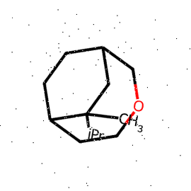 CC(C)C1(C)CC2CCC1CCOC2